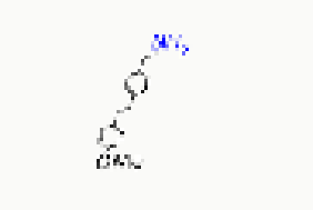 COc1ccc(CCc2ccc(CCN)cc2)cc1